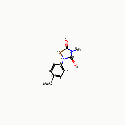 COc1ccc(-n2sc(=O)n(C(C)C)c2=O)cc1